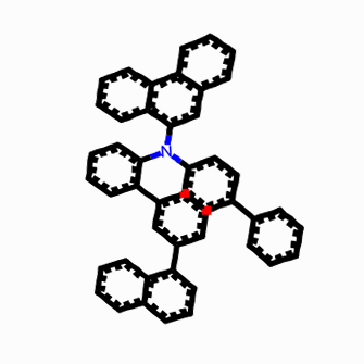 c1ccc(-c2ccc(N(c3ccccc3-c3cccc(-c4cccc5ccccc45)c3)c3cc4ccccc4c4ccccc34)cc2)cc1